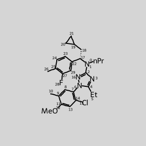 CCCN(c1nc(CC)n(-c2cc(C)c(OC)cc2Cl)n1)[C@@H](CC1CC1)c1ccc(C)c(F)c1